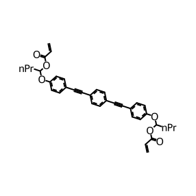 C=CC(=O)OC(CCC)Oc1ccc(C#Cc2ccc(C#Cc3ccc(OC(CCC)OC(=O)C=C)cc3)cc2)cc1